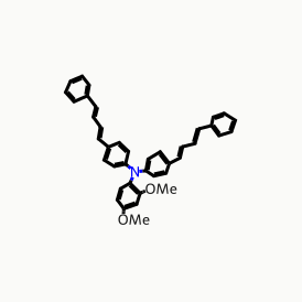 COc1ccc(N(c2ccc(/C=C/C=C/c3ccccc3)cc2)c2ccc(/C=C/C=C/c3ccccc3)cc2)c(OC)c1